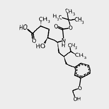 CC(C)[C@@H](Cc1cccc(OCO)c1)C[C@H](NC(=O)OC(C)(C)C)[C@@H](O)C[C@@H](C)C(=O)O